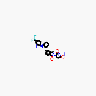 O=C1CCC(N2Cc3cc(C[C@H]4CCCC[C@@H]4NC4CCC(C(F)F)CC4)ccc3C2=O)C(=O)N1